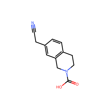 N#CCc1ccc2c(c1)CN(C(=O)O)CC2